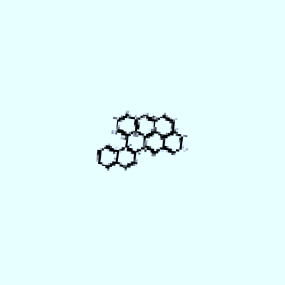 c1ccc2c(c1)ccc1c3cc4cccc5ccc6cc7cccc(c21)c7c3c6c54